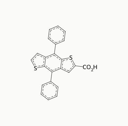 O=C(O)c1cc2c(-c3ccccc3)c3sccc3c(-c3ccccc3)c2s1